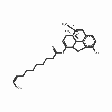 CCCCCCCC/C=C\CCCCCCCC(=O)OC1=CC[C@@]2(O)[C@H]3Cc4ccc(O)c5c4[C@@]2(CCN3C)[C@H]1O5